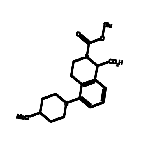 COC1CCN(c2cccc3c2CCN(C(=O)OC(C)(C)C)C3C(=O)O)CC1